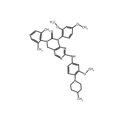 COc1ccc(N2C(=O)N(c3c(C)cccc3C)Cc3cnc(Nc4ccc(N5CCC(C)CC5)c(OC)c4)nc32)c(OC)c1